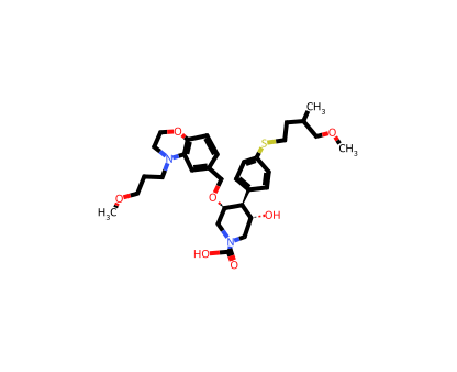 COCCCN1CCOc2ccc(CO[C@H]3CN(C(=O)O)C[C@@H](O)[C@@H]3c3ccc(SCCC(C)COC)cc3)cc21